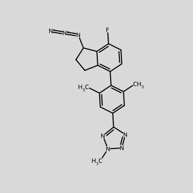 Cc1cc(-c2nnn(C)n2)cc(C)c1-c1ccc(F)c2c1CCC2N=[N+]=[N-]